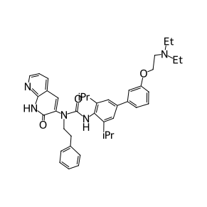 CCN(CC)CCOc1cccc(-c2cc(C(C)C)c(NC(=O)N(CCc3ccccc3)c3cc4cccnc4[nH]c3=O)c(C(C)C)c2)c1